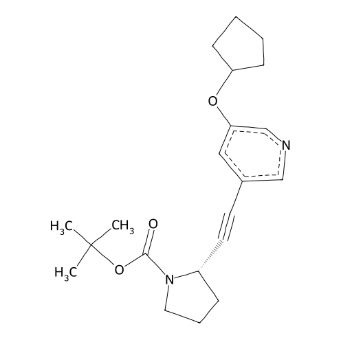 CC(C)(C)OC(=O)N1CCC[C@H]1C#Cc1cncc(OC2CCCC2)c1